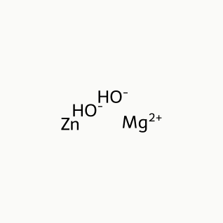 [Mg+2].[OH-].[OH-].[Zn]